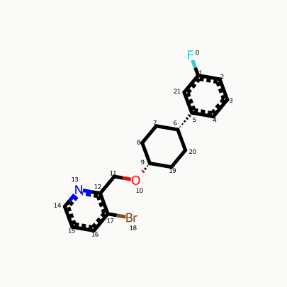 Fc1cccc([C@H]2CC[C@@H](OCc3ncccc3Br)CC2)c1